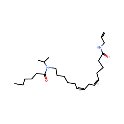 C=CCNC(=O)CCC/C=C\C/C=C\CCCCCN(C(=O)CCCCC)C(C)C